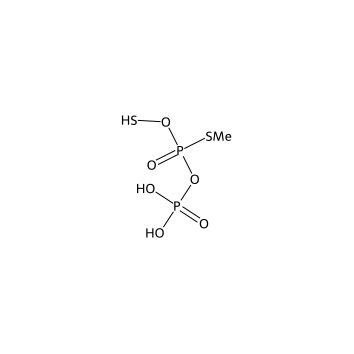 CSP(=O)(OS)OP(=O)(O)O